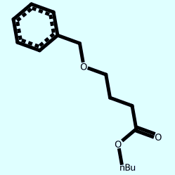 CCCCOC(=O)CCCOCc1ccccc1